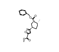 COC(=O)c1cc([C@@H]2CC[C@@H](C)N(C(=O)OCc3ccccc3)C2)no1